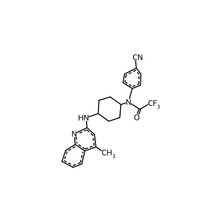 Cc1cc(NC2CCC(N(C(=O)C(F)(F)F)c3ccc(C#N)cc3)CC2)nc2ccccc12